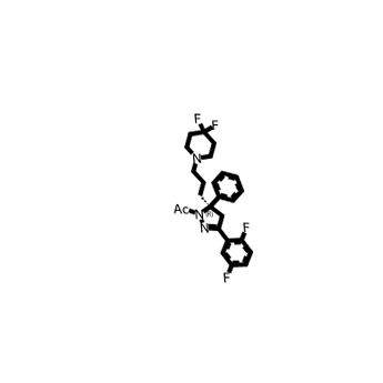 CC(=O)N1N=C(c2cc(F)ccc2F)C[C@]1(CCCN1CCC(F)(F)CC1)c1ccccc1